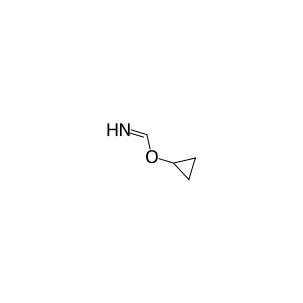 N=COC1CC1